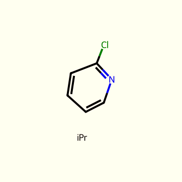 [CH2][C@H](C)c1ccc(Cl)nc1